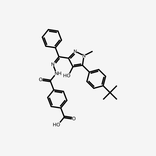 Cn1nc(C(=NNC(=O)c2ccc(C(=O)O)cc2)c2ccccc2)c(O)c1-c1ccc(C(C)(C)C)cc1